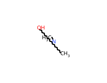 CCC#N.CCCCCCCCCCCCCCCCCCO